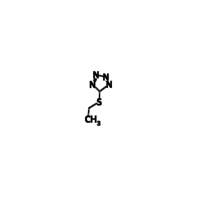 CCSC1N=NN=N1